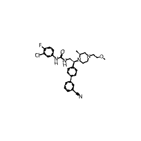 COCCN1CCN([C@H](CNC(=O)Nc2ccc(F)c(Cl)c2)c2ccc(-c3cccc(C#N)c3)cc2)[C@@H](C)C1